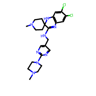 CN1CCN(c2ncc(CNC3=Nc4cc(Cl)c(Cl)cc4NC34CCN(C)CC4)cn2)CC1